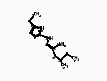 CCc1ccc(N/C=C(\N)CC(C)CC)[nH]1